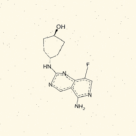 Nc1ncc(F)c2nc(N[C@H]3CC[C@H](O)CC3)ncc12